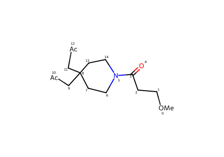 COCCC(=O)N1CCC(CC(C)=O)(CC(C)=O)CC1